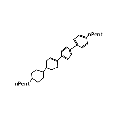 CCCCCc1ccc(-c2ccc(C3=CCC(C4CCC(CCCCC)CC4)CC3)cc2)cc1